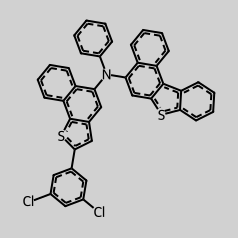 Clc1cc(Cl)cc(-c2cc3cc(N(c4ccccc4)c4cc5sc6ccccc6c5c5ccccc45)c4ccccc4c3s2)c1